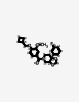 COc1cc(C(=O)N2CC[C@]3(c4cccc(F)c4)OCOC3C2)ccc1OCC1CCC1